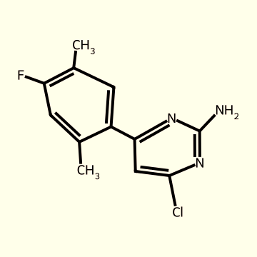 Cc1cc(-c2cc(Cl)nc(N)n2)c(C)cc1F